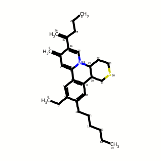 C=C1C=C2c3cc(CC)c(CCCCCC)cc3C3CSCCC3N2C=C1C(=C)CCC